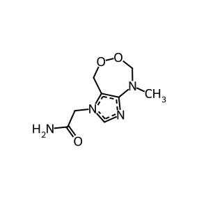 CN1COOCc2c1ncn2CC(N)=O